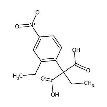 CCc1cc([N+](=O)[O-])ccc1C(CC)(C(=O)O)C(=O)O